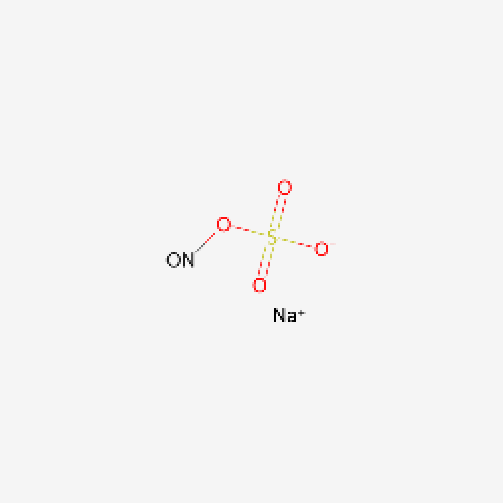 O=NOS(=O)(=O)[O-].[Na+]